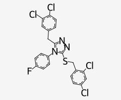 Fc1ccc(-n2c(Cc3ccc(Cl)c(Cl)c3)nnc2SCc2ccc(Cl)cc2Cl)cc1